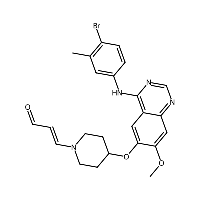 COc1cc2ncnc(Nc3ccc(Br)c(C)c3)c2cc1OC1CCN(C=CC=O)CC1